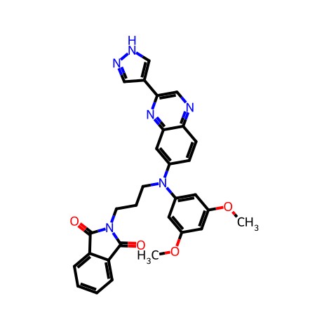 COc1cc(OC)cc(N(CCCN2C(=O)c3ccccc3C2=O)c2ccc3ncc(-c4cn[nH]c4)nc3c2)c1